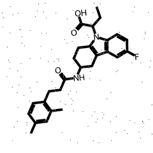 CCC(C(=O)O)n1c2c(c3cc(F)ccc31)CC(NC(=O)CCc1ccc(C)cc1C)CC2